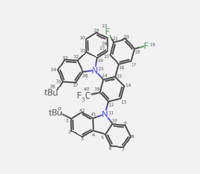 CC(C)(C)c1ccc2c3ccccc3n(-c3ccc(-c4cc(F)cc(F)c4)c(-n4c5ccccc5c5ccc(C(C)(C)C)cc54)c3C(F)(F)F)c2c1